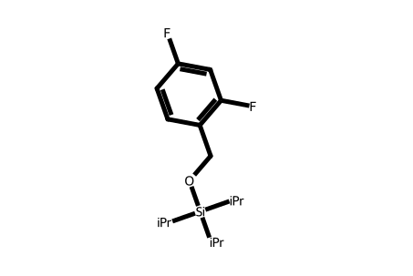 CC(C)[Si](OCc1ccc(F)cc1F)(C(C)C)C(C)C